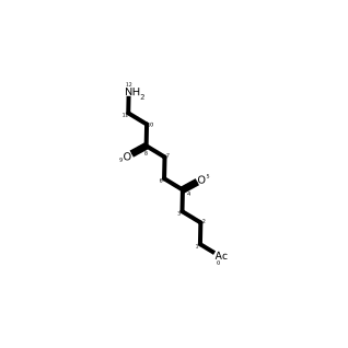 CC(=O)CCCC(=O)CCC(=O)CCN